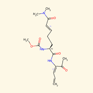 C=C/C=C(/NC(=O)[C@H](CC/C=C/C(=O)N(C)C)NC(=O)OC)C(C)=O